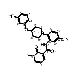 Cn1cccc(C(=O)Nc2cc(C#N)ccc2N2CCC(Oc3cccc(F)c3)CC2)c1=O